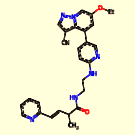 CCOc1cc(-c2ccc(NCCNC(=O)C(C)/C=C/c3ccccn3)nc2)c2c(C#N)cnn2c1